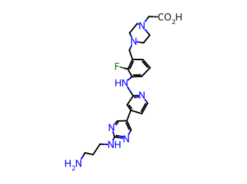 NCCCNc1ncc(-c2ccnc(Nc3cccc(CN4CCN(CC(=O)O)CC4)c3F)c2)cn1